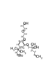 C=CCCC(C)(O)COc1cc(C(C)(C)CC(C)(C)C)ccc1OCCOCCO